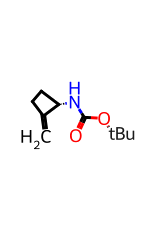 C=C1CC[C@@H]1NC(=O)OC(C)(C)C